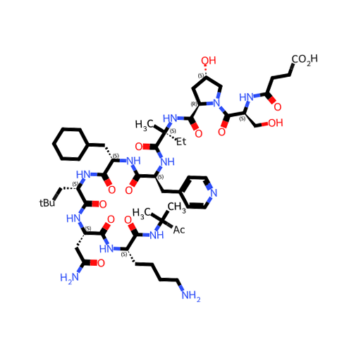 CC[C@](C)(NC(=O)[C@H]1C[C@H](O)CN1C(=O)[C@H](CO)NC(=O)CCC(=O)O)C(=O)N[C@@H](Cc1ccncc1)C(=O)N[C@@H](CC1CCCCC1)C(=O)N[C@@H](CC(C)(C)C)C(=O)N[C@@H](CC(N)=O)C(=O)N[C@@H](CCCCN)C(=O)NC(C)(C)C(C)=O